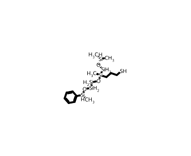 C[SiH](C)O[SiH2][Si](C)(CCCS)O[SiH2][SiH2]O[SiH](C)c1ccccc1